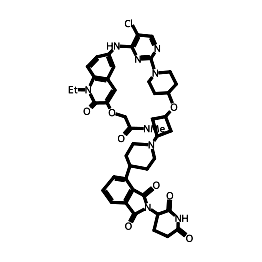 CCn1c(=O)c(OCC(=O)NC)cc2cc(Nc3nc(N4CCC(OC5CC(N6CCC(c7cccc8c7C(=O)N(C7CCC(=O)NC7=O)C8=O)CC6)C5)CC4)ncc3Cl)ccc21